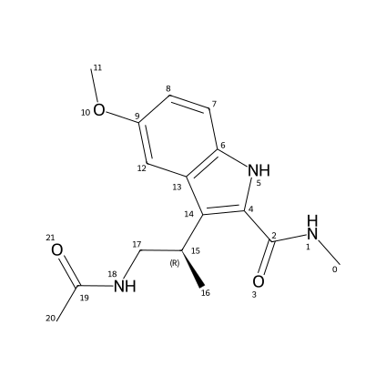 CNC(=O)c1[nH]c2ccc(OC)cc2c1[C@@H](C)CNC(C)=O